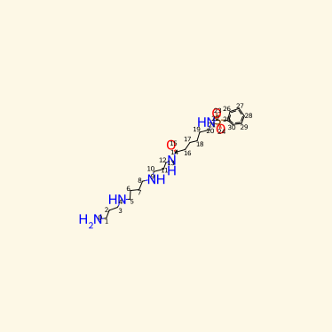 NCCCNCCCCNCCCNC(=O)CCCCCNS(=O)(=O)c1ccccc1